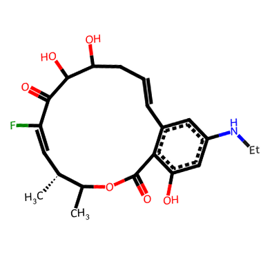 CCNc1cc(O)c2c(c1)/C=C/CC(O)C(O)C(=O)/C(F)=C\[C@@H](C)C(C)OC2=O